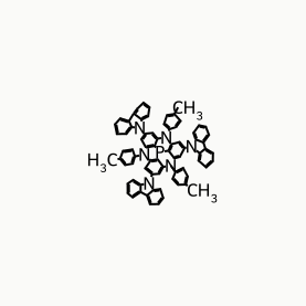 Cc1ccc(N2c3cc(-n4c5ccccc5c5ccccc54)cc4c3P3c5c2cc(-n2c6ccccc6c6ccccc62)cc5N(c2ccc(C)cc2)c2cc(-n5c6ccccc6c6ccccc65)cc(c23)N4c2ccc(C)cc2)cc1